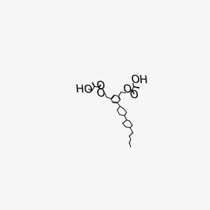 C=C(CO)C(=O)OCCc1cc(CCOC(=O)C(=C)CO)cc(C2CCC(C3CCC(CCCCC)CC3)CC2)c1